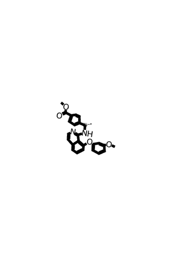 COC(=O)c1ccc([C@H](C)Nc2nccc3cccc(Oc4cccc(OC)c4)c23)cc1